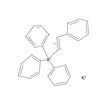 C(=C\[B-](c1ccccc1)(c1ccccc1)c1ccccc1)/c1ccccc1.[K+]